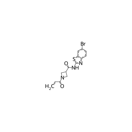 C=CC(=O)N1CC(C(=O)Nc2nc3ccc(Br)cc3s2)C1